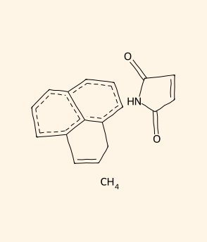 C.C1=Cc2cccc3cccc(c23)C1.O=C1C=CC(=O)N1